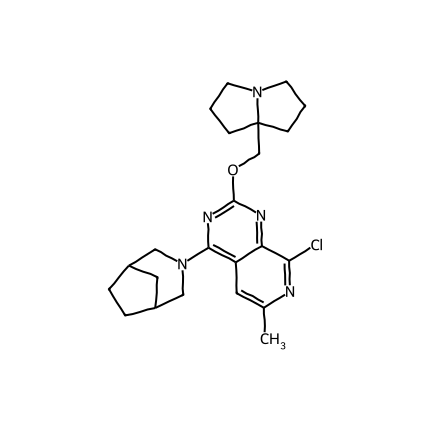 Cc1cc2c(N3CC4CCC(C4)C3)nc(OCC34CCCN3CCC4)nc2c(Cl)n1